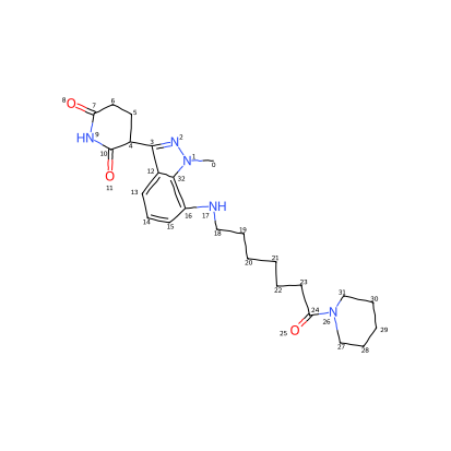 Cn1nc(C2CCC(=O)NC2=O)c2cccc(NCCCCCCC(=O)N3CCCCC3)c21